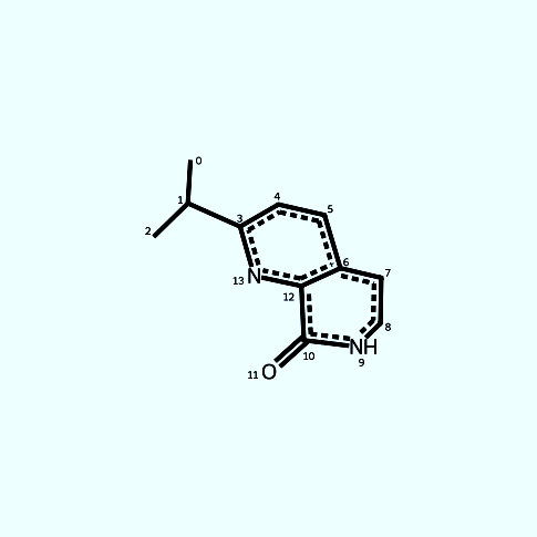 CC(C)c1ccc2cc[nH]c(=O)c2n1